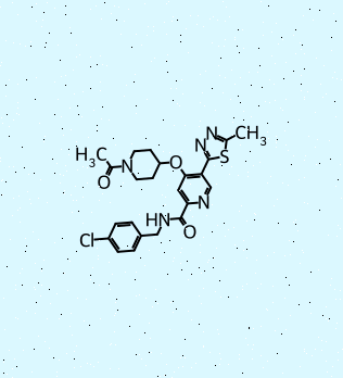 CC(=O)N1CCC(Oc2cc(C(=O)NCc3ccc(Cl)cc3)ncc2-c2nnc(C)s2)CC1